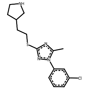 Cc1nc(SCCC2CCNC2)nn1-c1cccc(Cl)c1